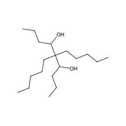 CCCCCC(CCCCC)(C(O)CCC)C(O)CCC